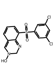 O=S(=O)(c1cc(Cl)cc(Cl)c1)c1cccc2c1=NCN(O)C=2